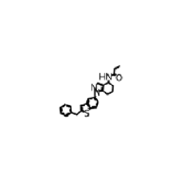 CCC(=O)NC1CCCc2c1cnn2-c1ccc2sc(Cc3ccccc3)cc2c1